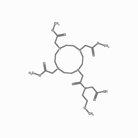 COCCN(CC(=O)O)C(=O)CN1CCN(CC(=O)OC)CCN(CC(=O)OC)CCN(CC(=O)OC)CC1